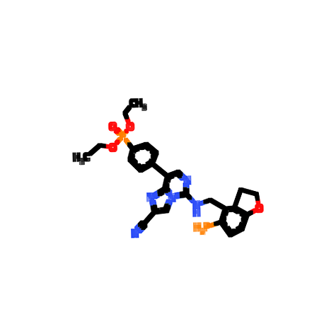 CCOP(=O)(OCC)c1ccc(-c2cnc(NCc3c(P)ccc4c3CCO4)n3cc(C#N)nc23)cc1